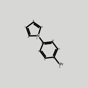 CC(C)c1ccc(-n2cccc2)cc1